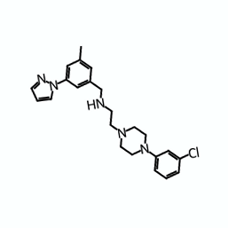 Cc1cc(CNCCN2CCN(c3cccc(Cl)c3)CC2)cc(-n2cccn2)c1